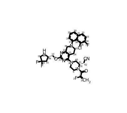 C=C(F)C(=O)N1CCN(c2nc(OC[C@@H]3CC(F)(F)CN3)nc3c2CCN(c2cccc4ccc(F)c(Cl)c24)C3)C[C@@H]1CC#N